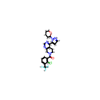 O=C(c1cccc(C(F)(F)F)c1Cl)N1CCc2c(ncnc2-c2ccnn2C2CCCCO2)C1